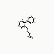 C=CCCc1ccccc1-c1ccccc1